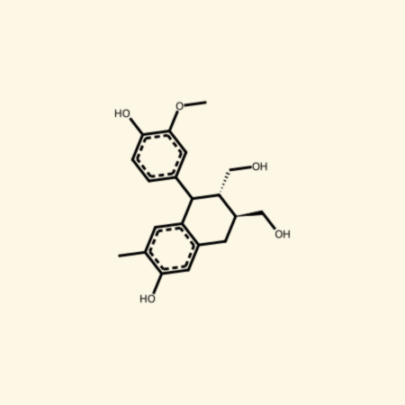 COc1cc(C2c3cc(C)c(O)cc3C[C@H](CO)[C@H]2CO)ccc1O